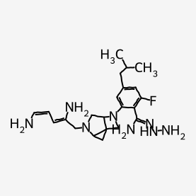 CC(C)Cc1cc(F)c(/C(N)=N/NN)c(N2CC34CC3N(C/C(N)=C/C=C\N)CC24)c1